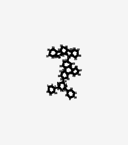 c1ccc(-c2nc(-c3ccccc3)nc(-c3ccc4c5ccc(-n6c7ccccc7c7ccc8c9ccccc9sc8c76)cc5c5ccccc5c4c3)n2)cc1